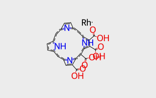 O=C(O)C1=Cc2cc3ccc(cc4nc(cc5[nH]c(c(C(=O)O)c1n2)c(C(=O)O)c5C(=O)O)C=C4)[nH]3.[Rh]